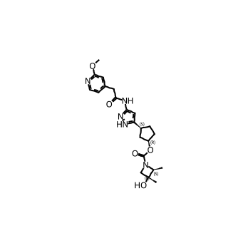 COc1cc(CC(=O)Nc2cc([C@H]3CC[C@@H](OC(=O)N4C[C@@](C)(O)[C@@H]4C)C3)[nH]n2)ccn1